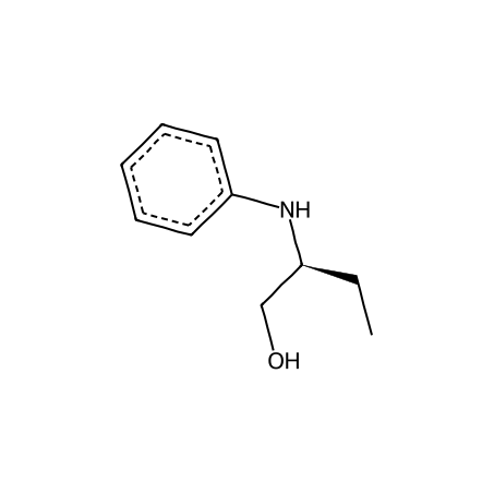 CC[C@@H](CO)Nc1ccccc1